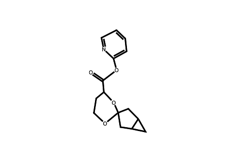 O=C(Oc1ccccn1)C1CCOC2(CC3CC3C2)O1